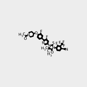 CC(=O)N1CCC(Oc2ccc(-c3ncc(N4C(=S)N(c5ccc(C#N)c(C(F)(F)F)c5F)C(=O)C4(C)C)cc3F)cc2F)CC1